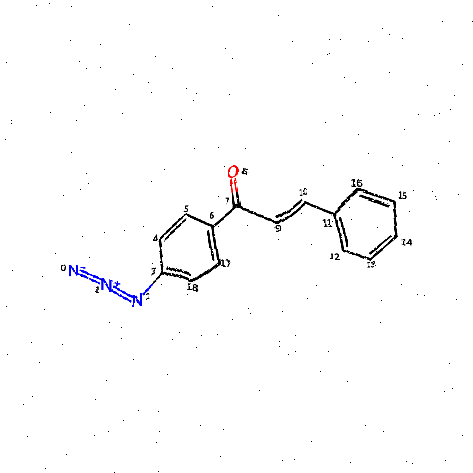 [N-]=[N+]=Nc1ccc(C(=O)C=Cc2ccccc2)cc1